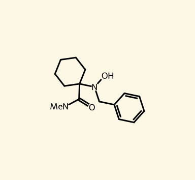 CNC(=O)C1(N(O)Cc2ccccc2)CCCCC1